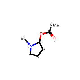 CCN1CCC[C]1OC(=O)NC